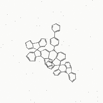 c1ccc(-c2ccc(N(c3cccc4c3-c3ccccc3C43c4ccccc4-n4c5ccccc5c5cccc3c54)c3cc4c(c5ccccc35)-c3ccccc3C43c4ccccc4-c4ccccc43)cc2)cc1